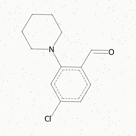 O=Cc1ccc(Cl)cc1N1CCCCC1